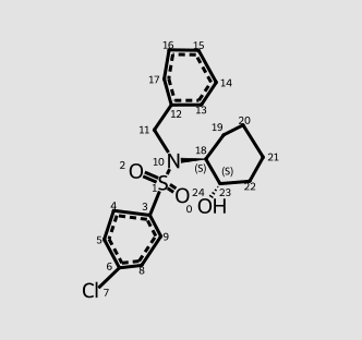 O=S(=O)(c1ccc(Cl)cc1)N(Cc1ccccc1)[C@H]1CCCC[C@@H]1O